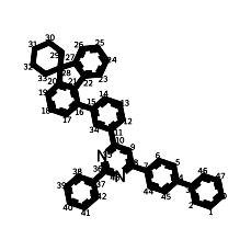 c1ccc(-c2ccc(-c3cc(-c4cccc(-c5cccc6c5-c5ccccc5C65CCCCC5)c4)nc(-c4ccccc4)n3)cc2)cc1